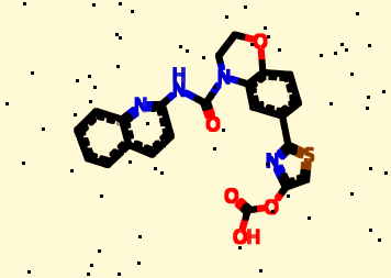 O=C(O)Oc1csc(-c2ccc3c(c2)N(C(=O)Nc2ccc4ccccc4n2)CCO3)n1